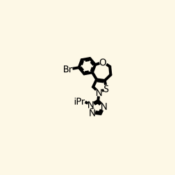 CC(C)n1ncnc1N1CC2=C(CCOc3ccc(Br)cc32)S1